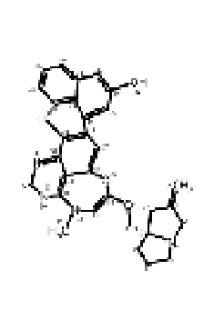 C=C1CN2CCC[C@@]2(COC2=CN(C)C3=c4c(cc(-c5cc(O)cc6ccccc56)c(Cl)c4=NCN3)O2)C1